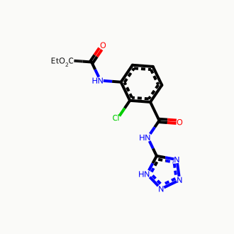 CCOC(=O)C(=O)Nc1cccc(C(=O)Nc2nnn[nH]2)c1Cl